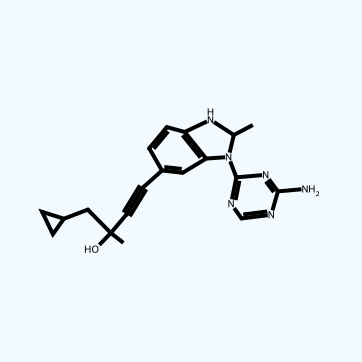 CC1Nc2ccc(C#CC(C)(O)CC3CC3)cc2N1c1ncnc(N)n1